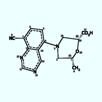 C[C@@H]1CN(c2ccc(C#N)c3ncncc23)C[C@H](C(=O)O)O1